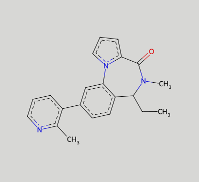 CCC1c2ccc(-c3cccnc3C)cc2-n2cccc2C(=O)N1C